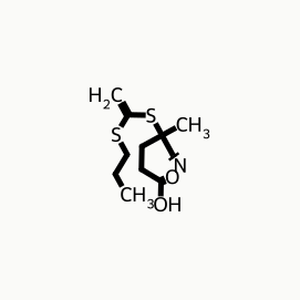 C=C(SCCC)SC(C)(C#N)CCC(=O)O